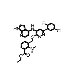 CCOC(=O)c1cccc(CSc2nnc(-c3cc(Cl)ccc3F)cc2Nc2ccnc3[nH]ccc23)c1N(C)C